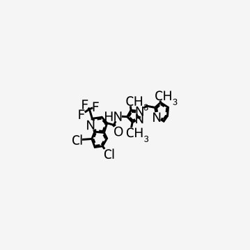 Cc1cccnc1Cn1nc(C)c(NC(=O)c2cc(C(F)(F)F)nc3c(Cl)cc(Cl)cc23)c1C